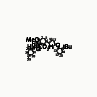 COC1=CC=C(c2ccc(Oc3ccccc3C(C)(C)C)cc2)CC1(NC(=O)Nc1ccc(C)cc1)C(=O)O